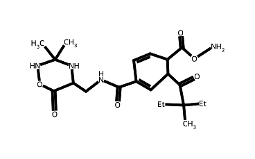 CCC(C)(CC)C(=O)C1C=C(C(=O)NCC2NC(C)(C)NOC2=O)C=CC1C(=O)ON